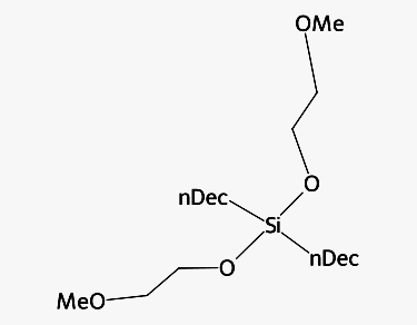 CCCCCCCCCC[Si](CCCCCCCCCC)(OCCOC)OCCOC